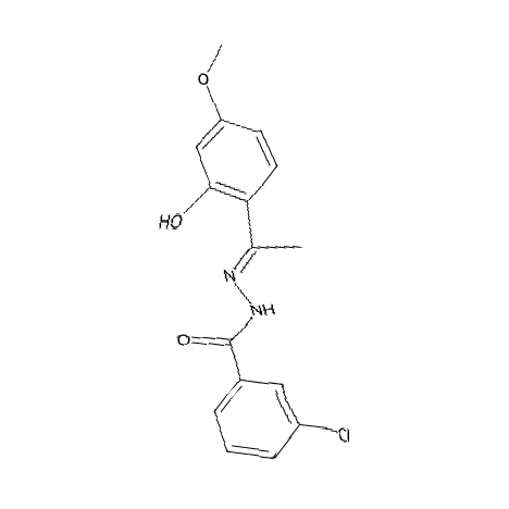 COc1ccc(/C(C)=N/NC(=O)c2cccc(Cl)c2)c(O)c1